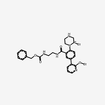 CCOc1ncccc1-c1ccc(N2CCNC[C@H]2CC)c(C(=O)NCCNC(=O)OCc2ccccc2)c1